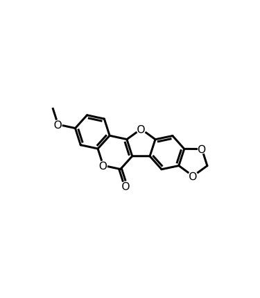 COc1ccc2c(c1)oc(=O)c1c3cc4c(cc3oc21)OCO4